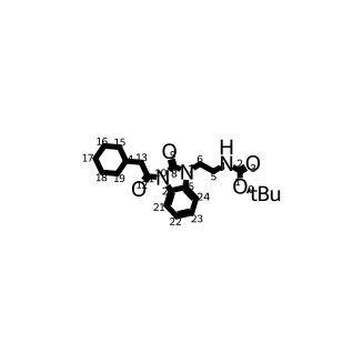 CC(C)(C)OC(=O)NCCn1c(=O)n(C(=O)CC2CCCCC2)c2ccccc21